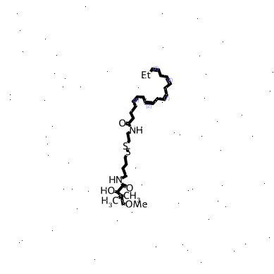 CC/C=C\C/C=C\C/C=C\C/C=C\C/C=C\CCCC(=O)NCCSSCCCCNC(=O)C(O)C(C)(C)COC